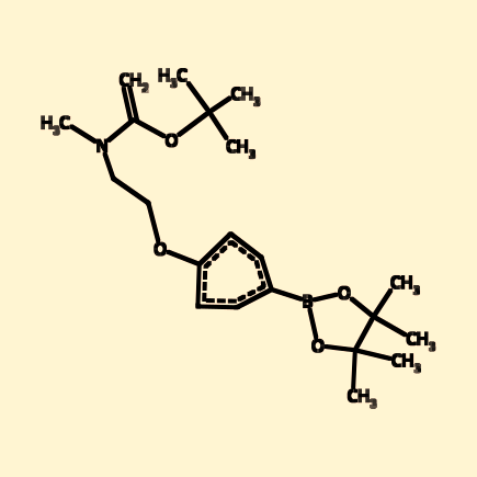 C=C(OC(C)(C)C)N(C)CCOc1ccc(B2OC(C)(C)C(C)(C)O2)cc1